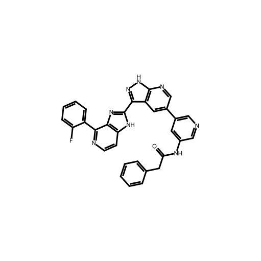 O=C(Cc1ccccc1)Nc1cncc(-c2cnc3[nH]nc(-c4nc5c(-c6ccccc6F)nccc5[nH]4)c3c2)c1